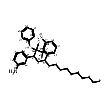 CCCCCCCCCCC(CC(c1cccc(N)c1)C(C)(Oc1ccccc1)C(F)(F)F)c1cccc(N)c1